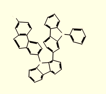 N#Cc1ccc2c(ccc3cc(-n4c5ccccc5c5cccc(-c6ccc7c8ccccc8n(-c8ccccc8)c7c6)c54)ccc32)c1